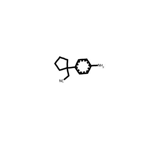 N#CCC1(c2ccc(N)cc2)CCCC1